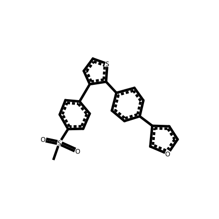 CS(=O)(=O)c1ccc(-c2ccsc2-c2ccc(-c3ccoc3)cc2)cc1